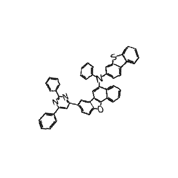 c1ccc(-c2cc(-c3ccc4oc5c6ccccc6c(N(c6ccccc6)c6ccc7c(c6)sc6ccccc67)cc5c4c3)nc(-c3ccccc3)n2)cc1